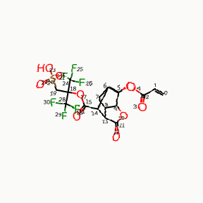 C=CC(=O)OC1C2CC3C1OC(=O)C3C2C(=O)OC(CS(=O)(=O)O)(C(F)(F)F)C(F)(F)F